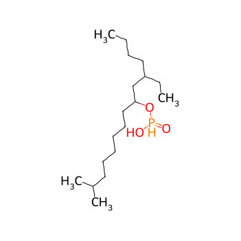 CCCCC(CC)CC(CCCCCCC(C)C)O[PH](=O)O